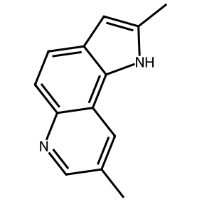 Cc1cnc2ccc3cc(C)[nH]c3c2c1